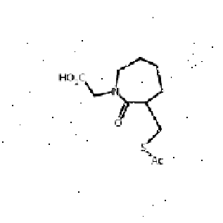 CC(=O)SCC1CCCCN(CC(=O)O)C1=O